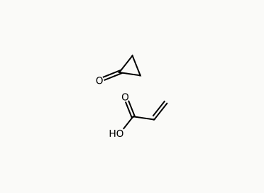 C=CC(=O)O.O=C1CC1